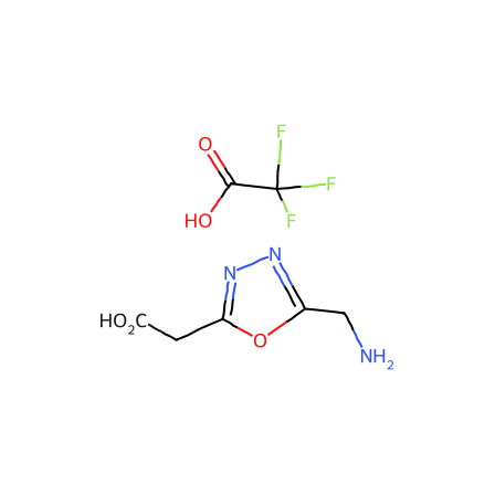 NCc1nnc(CC(=O)O)o1.O=C(O)C(F)(F)F